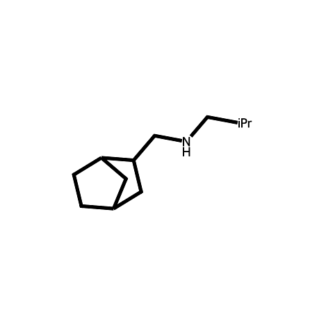 CC(C)CNCC1CC2CCC1C2